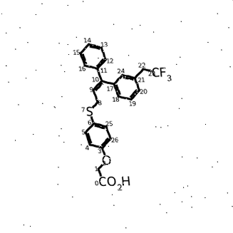 O=C(O)COc1ccc(SCC=C(c2ccccc2)c2cccc(CC(F)(F)F)c2)cc1